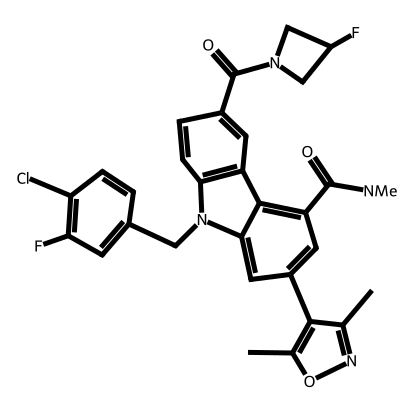 CNC(=O)c1cc(-c2c(C)noc2C)cc2c1c1cc(C(=O)N3CC(F)C3)ccc1n2Cc1ccc(Cl)c(F)c1